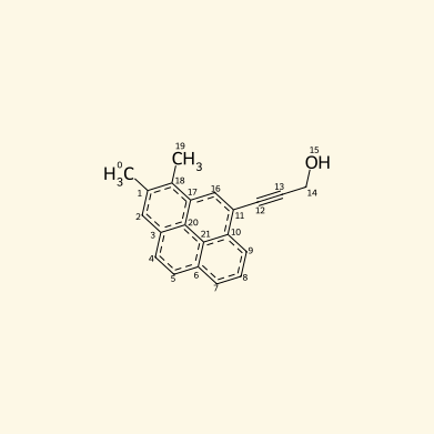 Cc1cc2ccc3cccc4c(C#CCO)cc(c1C)c2c34